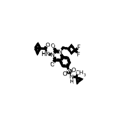 CC1(NS(=O)(=O)c2ccc3c(c2)c(=O)n(NC(=O)C24CC2C4)c(=O)n3CC2CC(F)(F)C2)CC1